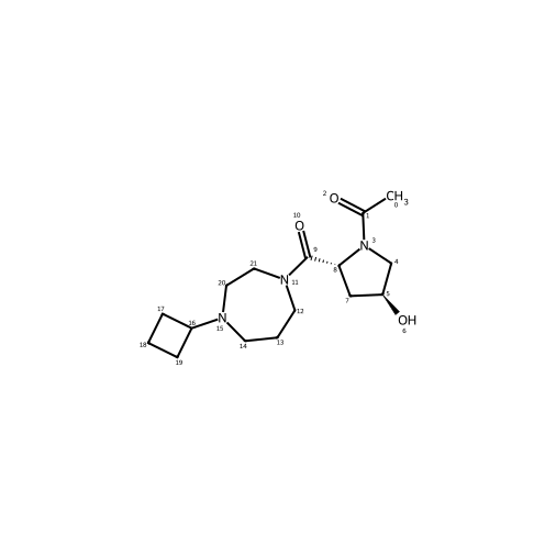 CC(=O)N1C[C@@H](O)C[C@@H]1C(=O)N1CCCN(C2CCC2)CC1